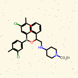 CCOC(=O)N1CCC(NCC(OB(c2ccc(C)c(Cl)c2)c2ccc(C)c(Cl)c2)c2ccccc2)CC1